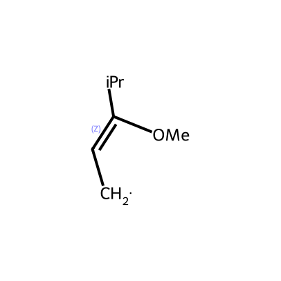 [CH2]/C=C(\OC)C(C)C